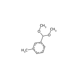 COC(OC)c1cccc(C)c1